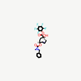 CN(Cc1ccccc1)C(=O)O[C@@H]1/C=C/CC[C@](O)(C(=O)Oc2c(F)c(F)c(F)c(F)c2F)CC1